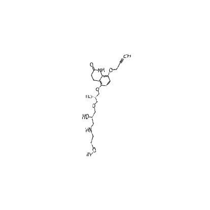 C#CCOc1ccc(OCC(O)COCC(O)CNCCOC(C)C)c2c1NC(=O)CC2